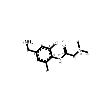 Cc1cc(CN)cc(Cl)c1NC(=O)CN(C)C